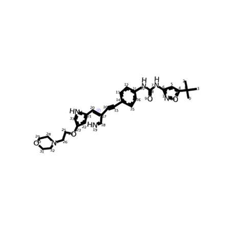 CC(C)(C)c1cc(NC(=O)Nc2ccc(C#C/C(C=N)=C/c3cc(OCCN4CCOCC4)c[nH]3)cc2)no1